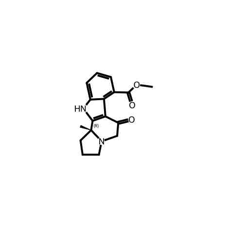 COC(=O)c1cccc2[nH]c3c(c12)C(=O)CN1CCC[C@]31C